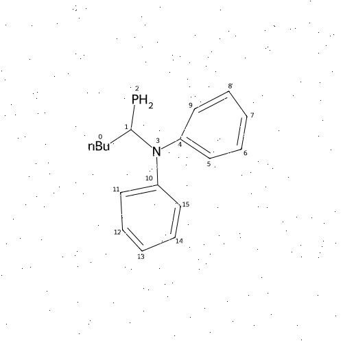 CCCCC(P)N(c1ccccc1)c1ccccc1